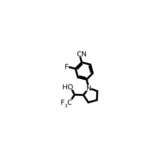 N#Cc1ccc(N2CCCC2C(O)C(F)(F)F)cc1F